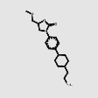 COCC1CN(c2ccc(C3CCC(CCN)CC3)cc2)C(=O)O1